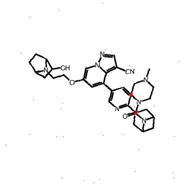 CN1CCN(C(=O)N2C3CC2CN(c2ccc(-c4cc(OCCN5C6CCC5C(O)C6)cn5ncc(C#N)c45)cn2)C3)CC1